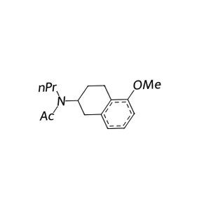 CCCN(C(C)=O)C1CCc2c(cccc2OC)C1